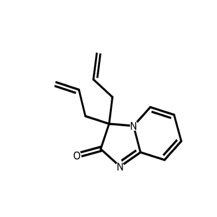 C=CCC1(CC=C)C(=O)N=C2C=CC=CN21